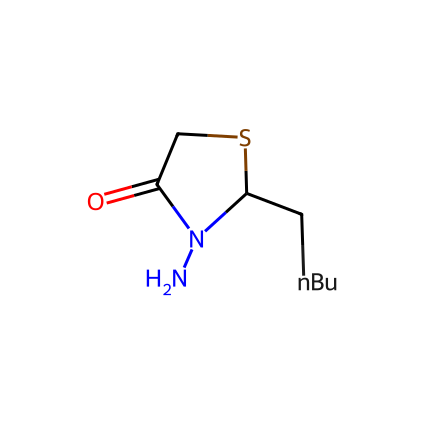 CCCCCC1SCC(=O)N1N